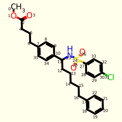 COC(=O)CCCc1ccc(C(CCCCCc2ccccc2)NS(=O)(=O)c2ccc(Cl)cc2)cc1